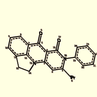 CC(C)c1cc2c(c(=O)c3cccc4c3n2CC4)c(=O)n1-c1ccccc1